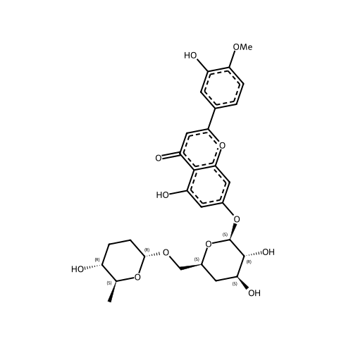 COc1ccc(-c2cc(=O)c3c(O)cc(O[C@@H]4O[C@H](CO[C@H]5CC[C@@H](O)[C@H](C)O5)C[C@H](O)[C@H]4O)cc3o2)cc1O